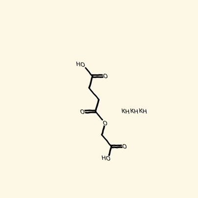 O=C(O)CCC(=O)OCC(=O)O.[KH].[KH].[KH]